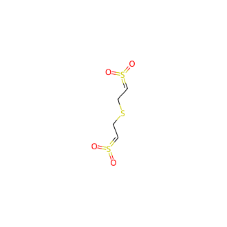 O=S(=O)=CCSCC=S(=O)=O